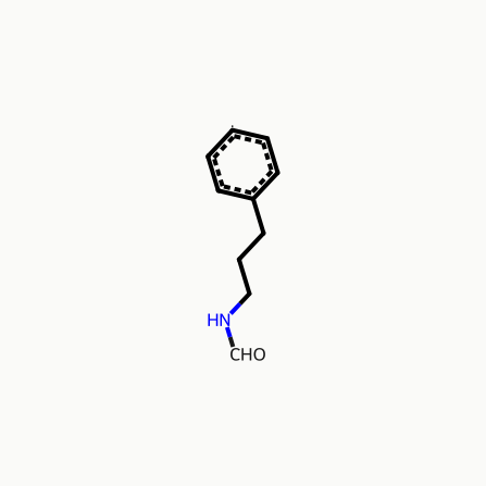 O=CNCCCc1cc[c]cc1